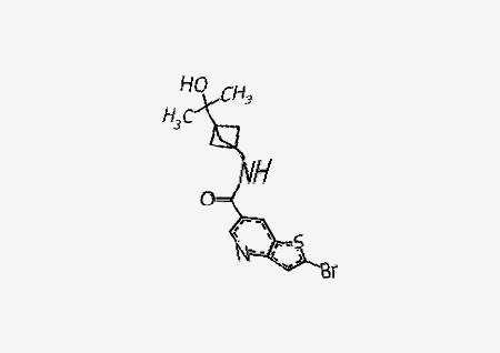 CC(C)(O)C12CC(NC(=O)c3cnc4cc(Br)sc4c3)(C1)C2